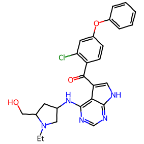 CCN1CC(Nc2ncnc3[nH]cc(C(=O)c4ccc(Oc5ccccc5)cc4Cl)c23)CC1CO